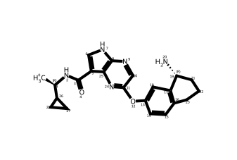 C[C@@H](NC(=O)c1c[nH]c2ncc(Oc3ccc4c(c3)[C@H](N)CCC4)nc12)C1CC1